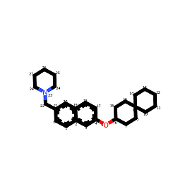 c1cc2cc(OC3CCC4(CCCCC4)CC3)ccc2cc1CN1CCCCC1